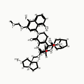 COCOc1cc(N2CCc3c(nc(OC[C@@]45CCCN4C[C@H](F)C5)nc3N3CC4CCC(C3)N4C(=O)OC(C)(C)C)C2=O)c2c(Cl)cccc2c1F